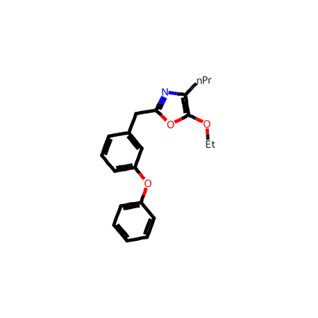 CCCc1nc(Cc2cccc(Oc3ccccc3)c2)oc1OCC